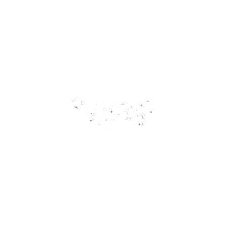 CCC(C)C(C(CC(=O)N1CCC[C@H]1C(OC)C(C)C(=O)NCCc1ccccn1)OC)N(C)C(=O)C(CN)NC(=O)C(C(C)C)N(C)C